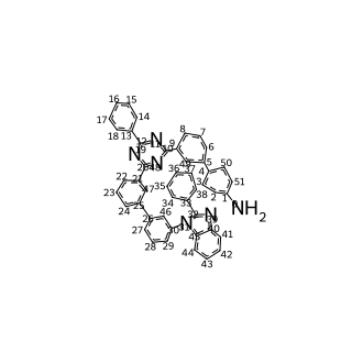 Nc1ccc(-c2cccc(-c3nc(-c4ccccc4)nc(-c4cccc(-c5cccc(-n6c(-c7ccccc7)nc7ccccc76)c5)c4)n3)c2)cc1